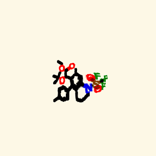 CCOC(=O)C(OC(C)(C)C)c1c(C)cc2c(c1-c1ccc(C)cc1)CCCN2S(=O)(=O)C(F)(F)F